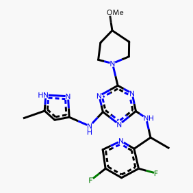 COC1CCN(c2nc(Nc3cc(C)[nH]n3)nc(NC(C)c3ncc(F)cc3F)n2)CC1